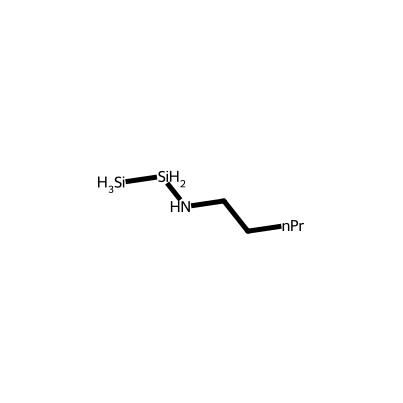 CCCCCN[SiH2][SiH3]